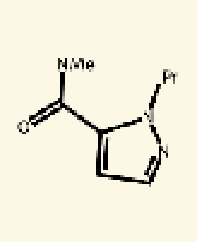 CNC(=O)c1ccnn1C(C)C